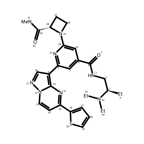 CC[C@H](CNC(=O)c1cc(-c2cnn3ccc(-c4cccs4)nc23)nc(N2CC[C@H]2C(=O)NC)c1)N(CC)CC